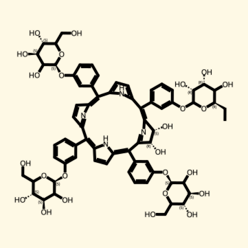 CC[C@H]1OC(Oc2cccc(-c3c4nc(c(-c5cccc(O[C@@H]6OC(CO)[C@@H](O)[C@H](O)C6O)c5)c5ccc([nH]5)c(-c5cccc(O[C@@H]6OC(CO)[C@@H](O)[C@H](O)C6O)c5)c5nc(c(-c6cccc(O[C@@H]7OC(CO)[C@@H](O)[C@H](O)C7O)c6)c6ccc3[nH]6)C=C5)[C@@H](O)[C@H]4O)c2)[C@H](O)[C@H](O)C1O